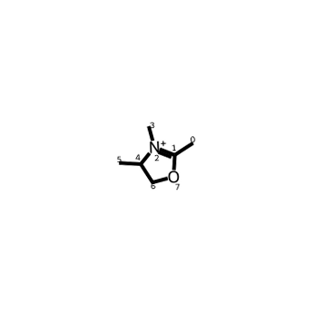 CC1=[N+](C)C(C)CO1